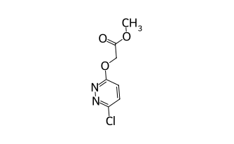 COC(=O)COc1ccc(Cl)nn1